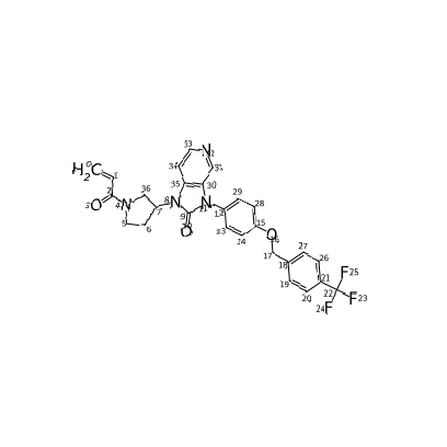 C=CC(=O)N1CCC(n2c(=O)n(-c3ccc(OCc4ccc(C(F)(F)F)cc4)cc3)c3cnccc32)C1